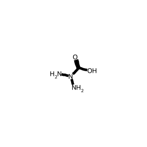 NN(N)C(=O)O